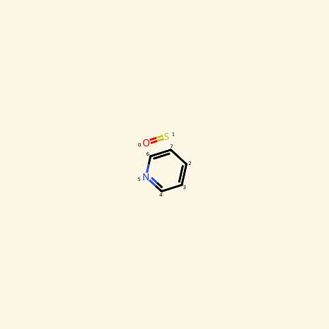 O=S.c1ccncc1